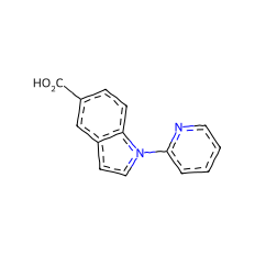 O=C(O)c1ccc2c(ccn2-c2ccccn2)c1